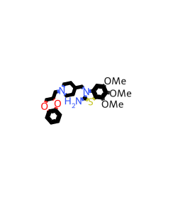 COc1cc2c(c(OC)c1OC)SC(N)N2CC1CCN(CC2COc3ccccc3O2)CC1